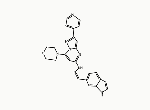 C(=N/Nc1cc(N2CCOCC2)n2nc(-c3ccncc3)cc2n1)/c1ccc2cc[nH]c2c1